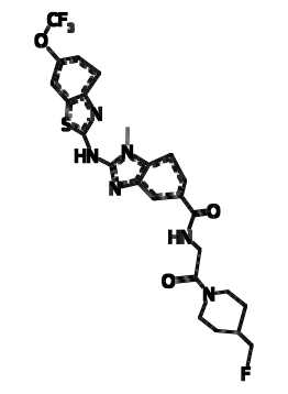 Cn1c(Nc2nc3ccc(OC(F)(F)F)cc3s2)nc2cc(C(=O)NCC(=O)N3CCC(CF)CC3)ccc21